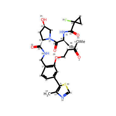 COC(=O)CCOc1cc(-c2scnc2C)ccc1CNC(=O)[C@@H]1C[C@@H](O)CN1C(=O)[C@@H](NC(=O)C1(F)CC1)C(C)(C)C